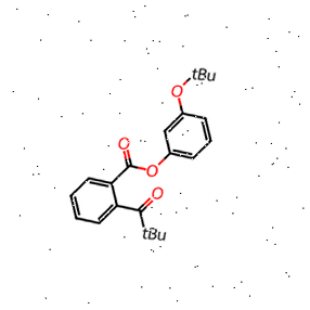 CC(C)(C)Oc1cccc(OC(=O)c2ccccc2C(=O)C(C)(C)C)c1